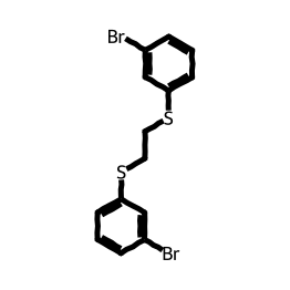 Brc1cccc(SCCSc2cccc(Br)c2)c1